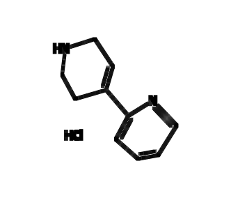 C1=C(c2ccccn2)CCNC1.Cl